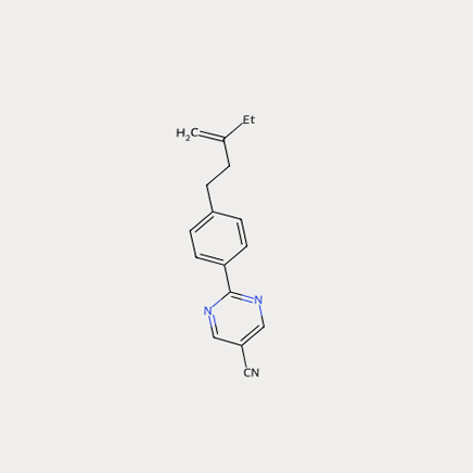 C=C(CC)CCc1ccc(-c2ncc(C#N)cn2)cc1